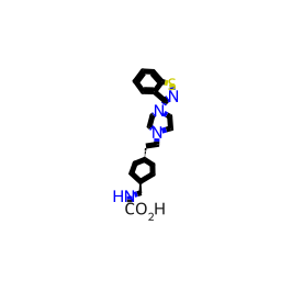 O=C(O)NC[C@H]1CC[C@H](CCN2CCN(c3nsc4ccccc34)CC2)CC1